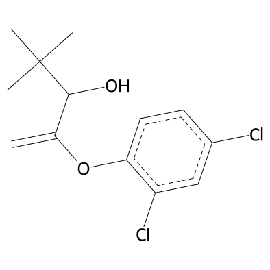 C=C(Oc1ccc(Cl)cc1Cl)C(O)C(C)(C)C